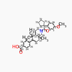 COc1ccc(C2(C(=O)N3CC=C4C(C)(C)C(c5ccc(C(=O)O)cc5)=CC[C@]4(C)C3)CCCC2)cc1